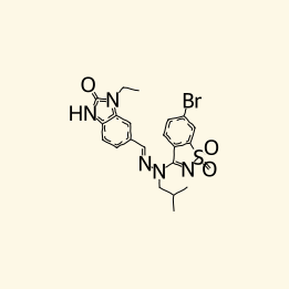 CCn1c(=O)[nH]c2ccc(/C=N/N(CC(C)C)C3=NS(=O)(=O)c4cc(Br)ccc43)cc21